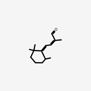 CC(C=O)=CC=C1C(C)CCCC1(C)C